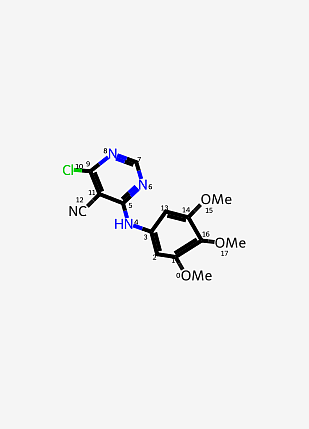 COc1cc(Nc2ncnc(Cl)c2C#N)cc(OC)c1OC